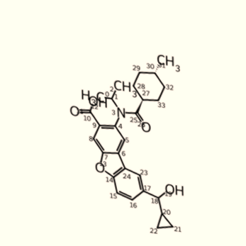 CC(C)N(c1cc2c(cc1C(=O)O)oc1ccc(C(O)C3CC3)cc12)C(=O)[C@H]1CC[C@H](C)CC1